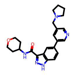 O=C(NC1CCOCC1)c1n[nH]c2ccc(-c3cncc(CN4CCCC4)c3)cc12